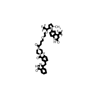 C[C@H]1CCC(C(OCCOCCCC(=O)N2CCN(C(=O)c3cc(Cc4n[nH]c(=O)c5ccccc45)ccc3F)CC2)C(F)(F)F)N1c1ccc2[nH]c(=O)cc(C(F)(F)F)c2c1